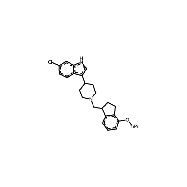 CCCOc1cccc2c1CCC2CN1CCC(c2c[nH]c3cc(Cl)ccc23)CC1